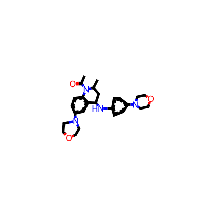 CC(=O)N1c2ccc(N3CCOCC3)cc2C(Nc2ccc(N3CCOCC3)cc2)CC1C